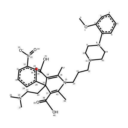 COc1ccccc1N1CCN(CCCN2C(C)=C(C(=O)O)C(CCN(C)C)(c3cccc([N+](=O)[O-])c3)C(C(=O)O)=C2C)CC1